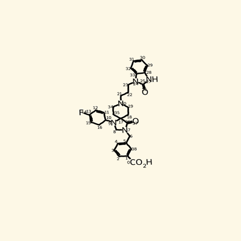 O=C(O)c1cccc(CN2CN(C3C=CC(F)=CC3)C3(CCN(CCCn4c(=O)[nH]c5ccccc54)CC3)C2=O)c1